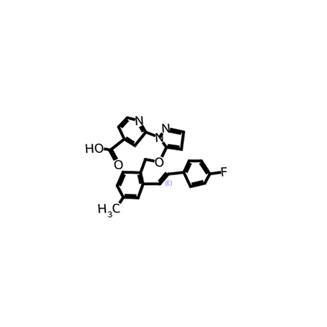 Cc1ccc(COc2ccnn2-c2cc(C(=O)O)ccn2)c(/C=C/c2ccc(F)cc2)c1